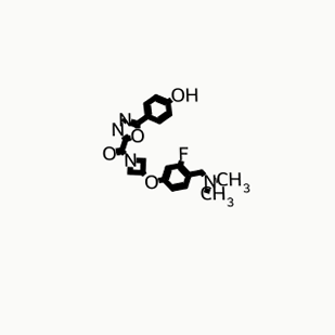 CN(C)Cc1ccc(OC2CN(C(=O)c3nnc(-c4ccc(O)cc4)o3)C2)cc1F